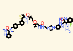 C=CC(C)(CCC(=O)NCCN1CCN(c2ccc3nc(-c4c(N)c5c(F)cccc5[nH]c4=O)[nH]c3c2)CC1)OCCC(C)(C)C(=O)Nc1ccsc1-c1cccc(-c2ccc(CN(C)C(C(=O)NC)c3ccccc3)cc2)c1